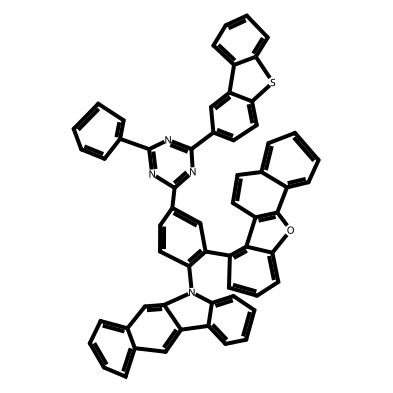 c1ccc(-c2nc(-c3ccc(-n4c5ccccc5c5cc6ccccc6cc54)c(-c4cccc5oc6c7ccccc7ccc6c45)c3)nc(-c3ccc4sc5ccccc5c4c3)n2)cc1